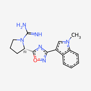 Cn1cc(-c2noc([C@@H]3CCCN3C(=N)N)n2)c2ccccc21